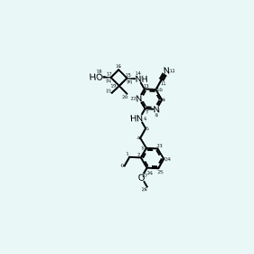 CCc1c(CCNc2ncc(C#N)c(N[C@@H]3C[C@H](O)C3(C)C)n2)cccc1OC